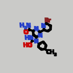 Cc1ccc(N2c3nc(-c4cccc(Br)n4)nc(C(N)=O)c3NC2O)cc1